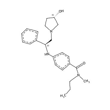 CCCN(C)C(=O)c1ccc(N[C@H](CN2CC[C@H](O)C2)c2ccccc2)cc1